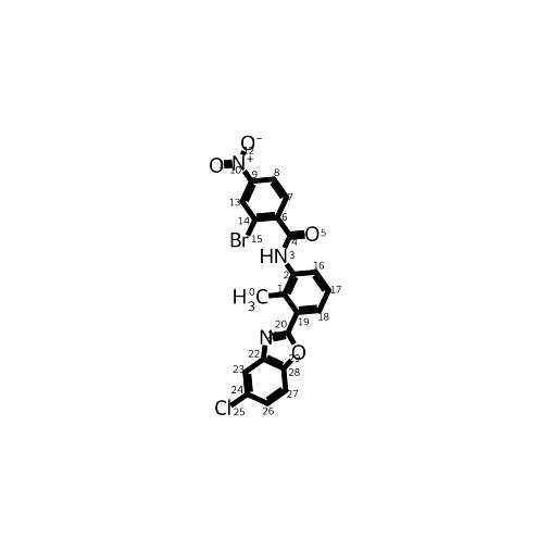 Cc1c(NC(=O)c2ccc([N+](=O)[O-])cc2Br)cccc1-c1nc2cc(Cl)ccc2o1